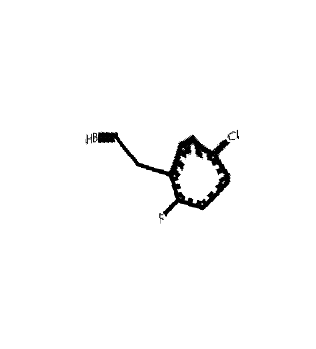 B=CCc1cc(Cl)ccc1F